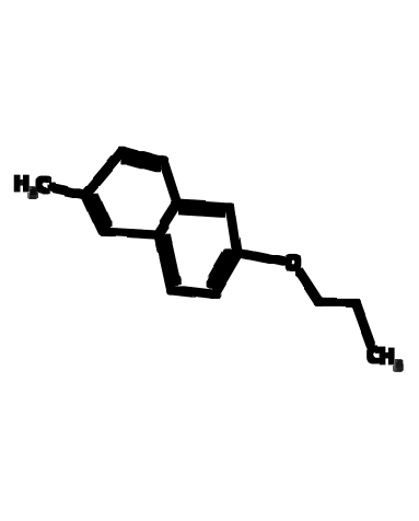 CCCOc1ccc2cc(C)ccc2c1